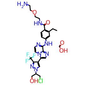 CCc1cc(Nc2nccn3c(-c4cn(C(CO)CCl)nc4C(F)(F)F)cnc23)ccc1C(=O)NCCOCCN.O=CO